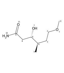 COCC[C@@H](C)[C@@H](O)CC(N)=O